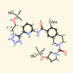 COc1cc2c(cc1C(=O)Nc1cccc(-c3nnnn3[C@H](C)CO[Si](C)(C)C(C)(C)C)n1)CN(C(=O)N1CCC(O[Si](C)(C)C(C)(C)C)C1)CC2